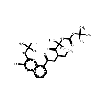 CCC(CC(=O)c1cccc2nc(C)c(NC(C)(C)C)nc12)C(=O)C(C)(C)NC(=O)OC(C)(C)C